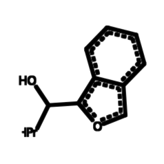 C[C](C)C(O)c1occ2ccccc12